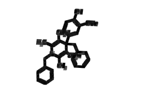 COc1cc(C2(Cc3ccccc3)C(C(=O)O)=C(C)N(Cc3ccccc3)C(C)=C2C(=O)O)ccc1O